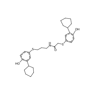 O=C(CSc1ccc(O)c(C2CCCCC2)c1)NCCCSc1ccc(O)c(C2CCCCC2)c1